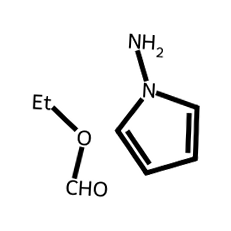 CCOC=O.Nn1cccc1